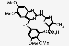 COc1cc2nc(Nc3nc(C)c(C(=O)O)s3)nc(Nc3cc(OC)c(OC)c(OC)c3)c2cc1OC